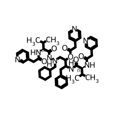 CC(C)[C@H](NC(=O)Cc1cccnc1)C(=O)NC(Cc1ccccc1)C(CN(CC1CCCCC1)NC(=O)[C@@H](NC(=O)Cc1cccnc1)C(C)C)OC(=O)Cc1ccncc1